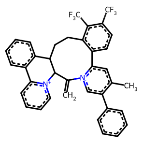 C=C1C2C(CCc3c(ccc(C(F)(F)F)c3C(F)(F)F)-c3cc(C)c(-c4ccccc4)c[n+]31)c1ccccc1-c1cccc[n+]12